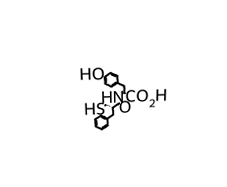 O=C(N[C@@H](Cc1ccc(O)cc1)C(=O)O)[C@@H](CS)Cc1ccccc1